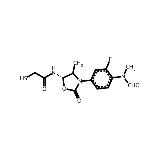 CC1[C@@H](NC(=O)CS)OC(=O)N1c1ccc(N(C)C=O)c(F)c1